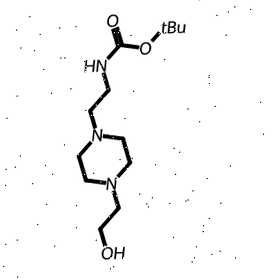 CC(C)(C)OC(=O)NCCN1CCN(CCO)CC1